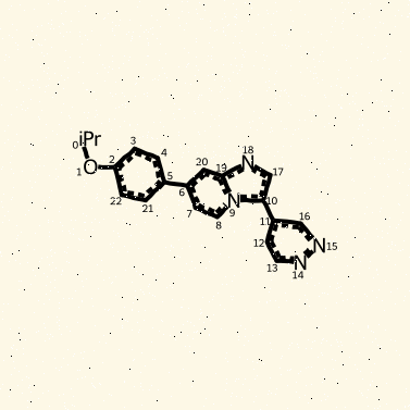 CC(C)Oc1ccc(-c2ccn3c(-c4ccnnc4)cnc3c2)cc1